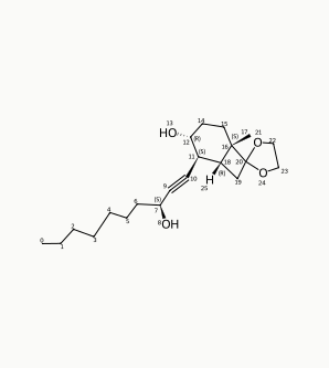 CCCCCCC[C@H](O)C#C[C@H]1[C@H](O)CC[C@@]2(C)[C@@H]1CC21OCCO1